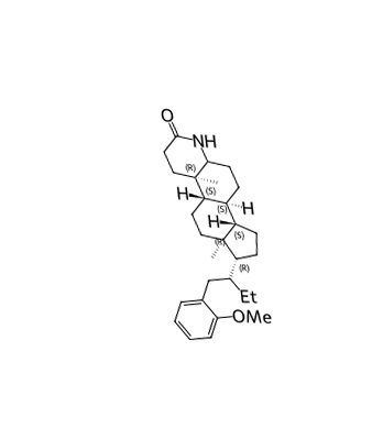 CCC(Cc1ccccc1OC)[C@H]1CC[C@H]2[C@@H]3CCC4NC(=O)CC[C@]4(C)[C@H]3CC[C@]12C